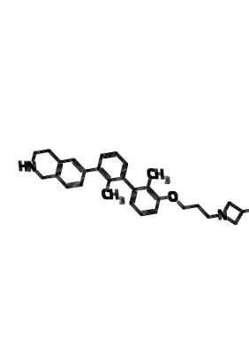 Cc1c(OCCCN2CC(O)C2)cccc1-c1cccc(-c2ccc3c(c2)CCNC3)c1C